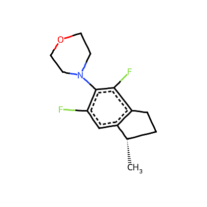 C[C@H]1CCc2c1cc(F)c(N1CCOCC1)c2F